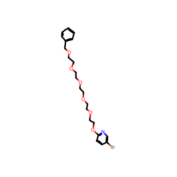 Brc1ccc(OCCOCCOCCOCCOCCOCc2ccccc2)nc1